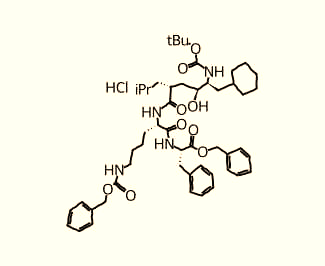 CC(C)C[C@H](C[C@H](O)[C@H](CC1CCCCC1)NC(=O)OC(C)(C)C)C(=O)N[C@@H](CCCCNC(=O)OCc1ccccc1)C(=O)N[C@@H](Cc1ccccc1)C(=O)OCc1ccccc1.Cl